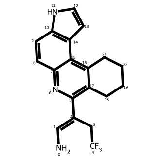 N/C=C(\CC(F)(F)F)c1nc2ccc3[nH]ccc3c2c2c1CCCC2